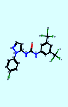 O=C(Nc1cc(C(F)(F)F)cc(C(F)(F)F)c1)Nc1ccnn1-c1ccc(Br)cc1